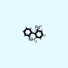 Nc1ccccc1-c1cccc[c]1[Pd+]